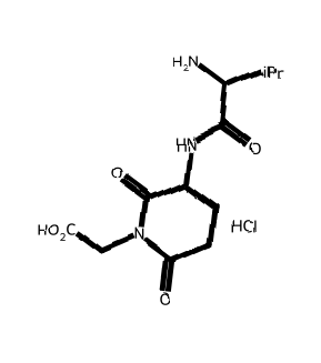 CC(C)C(N)C(=O)NC1CCC(=O)N(CC(=O)O)C1=O.Cl